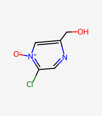 [O-][n+]1cc(CO)ncc1Cl